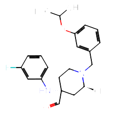 CC(C)Oc1cccc(CN2CC[C@@](C=O)(Nc3cccc(F)c3)C[C@@H]2C)c1